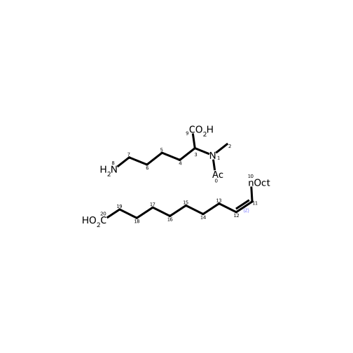 CC(=O)N(C)C(CCCCN)C(=O)O.CCCCCCCC/C=C\CCCCCCCC(=O)O